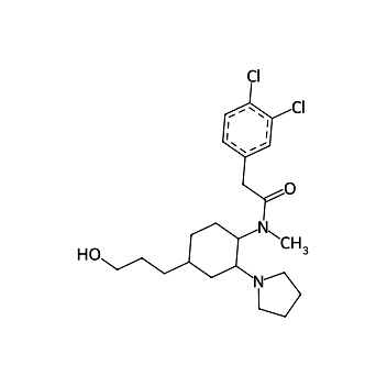 CN(C(=O)Cc1ccc(Cl)c(Cl)c1)C1CCC(CCCO)CC1N1CCCC1